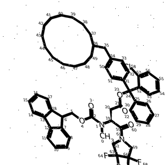 CN(C(=O)OCC1c2ccccc2-c2ccccc21)[C@@H](CC(=O)OC(c1ccccc1)(c1ccc(CC2CCCCCCCCCCCCC2)cc1)c1ccccc1Cl)C(=O)N1CC(F)(F)C(F)(F)C1